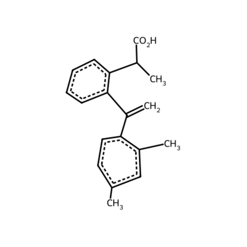 C=C(c1ccc(C)cc1C)c1ccccc1C(C)C(=O)O